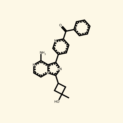 CC1(O)CC(c2nc(-c3ccc(C(=O)c4ccccc4)nc3)c3c(N)nccn23)C1